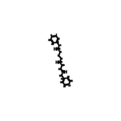 c1ccc(CNCCCNCCNCc2ccccc2)cc1